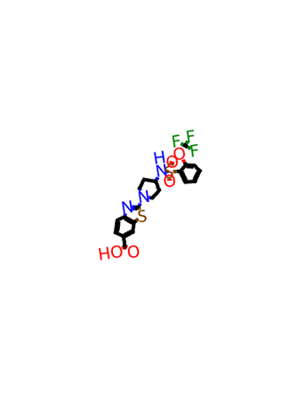 O=C(O)c1ccc2nc(N3CCC(NS(=O)(=O)c4ccccc4OC(F)(F)F)CC3)sc2c1